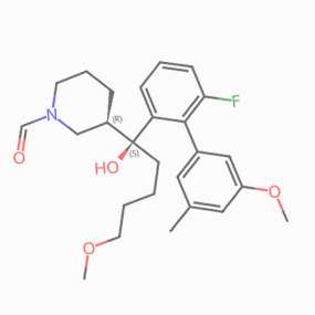 COCCCC[C@@](O)(c1cccc(F)c1-c1cc(C)cc(OC)c1)[C@@H]1CCCN(C=O)C1